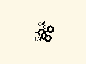 CC(=O)OC(CC(C)C)C(CC(C)N)(c1ccccc1)c1ccccc1